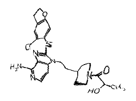 C[C@@H](O)C(=O)N1CCC(CCn2c(Sc3cc4c(cc3Cl)CCO4)nc3c(N)nccc32)CC1